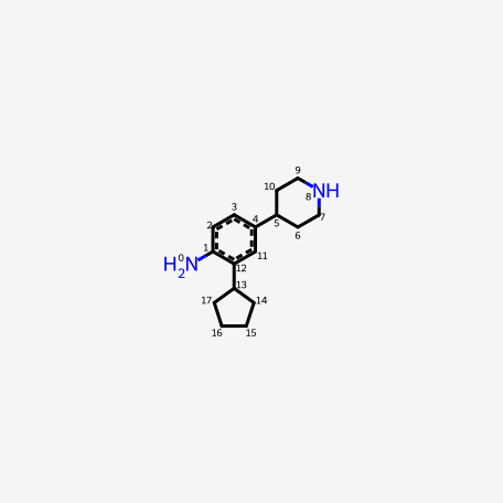 Nc1ccc(C2CCNCC2)cc1C1CCCC1